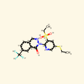 CCSc1cnc(-n2ncc3ccc(C(F)(F)F)cc3c2=O)c(S(=O)(=O)CC)c1